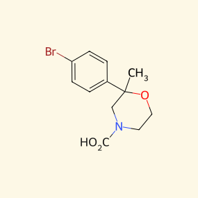 CC1(c2ccc(Br)cc2)CN(C(=O)O)CCO1